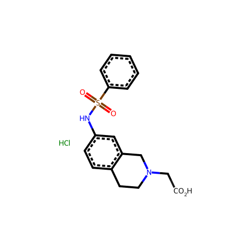 Cl.O=C(O)CN1CCc2ccc(NS(=O)(=O)c3ccccc3)cc2C1